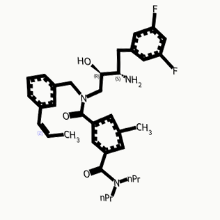 C/C=C\c1cccc(CN(C[C@@H](O)[C@@H](N)Cc2cc(F)cc(F)c2)C(=O)c2cc(C)cc(C(=O)N(CCC)CCC)c2)c1